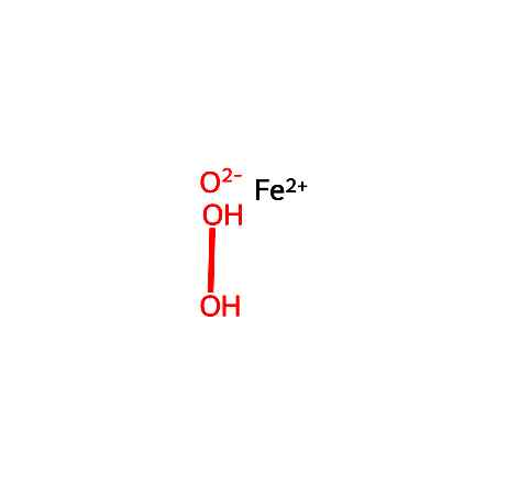 OO.[Fe+2].[O-2]